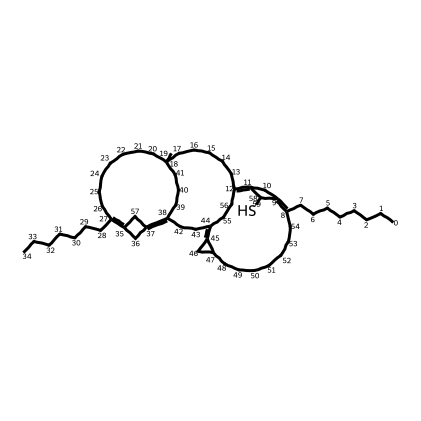 CCCCCCCC/C1=C2/C/C(=C3/CCCCCC4(C)CCCCCCCC(CCCCCCC)=C5CC(=C(CCC4)CC/C(=C4/CC4CCCCCCC1)CC3)C5)C2S